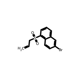 C=CCS(=O)(=O)c1cccc2cc(Br)ccc12